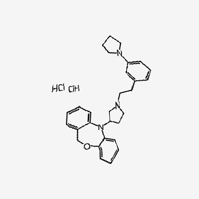 Cl.Cl.c1cc(CCN2CCC(N3c4ccccc4COc4ccccc43)C2)cc(N2CCCC2)c1